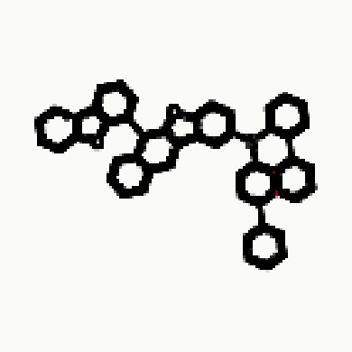 c1ccc(-c2ccc(N(c3ccc4oc5c(-c6cccc7c6oc6ccccc67)c6ccccc6cc5c4c3)c3ccccc3-c3ccccc3)cc2)cc1